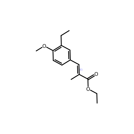 CCOC(=O)/C(C)=C/c1ccc(OC)c(CC)c1